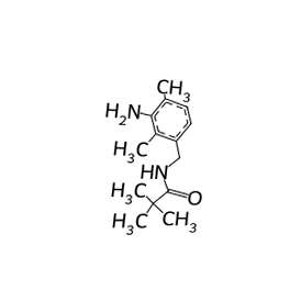 Cc1ccc(CNC(=O)C(C)(C)C)c(C)c1N